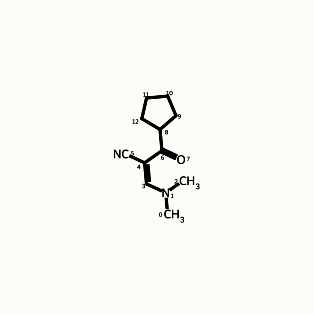 CN(C)/C=C(/C#N)C(=O)C1CCCC1